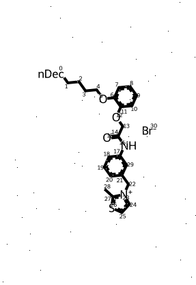 CCCCCCCCCCCCCCOc1ccccc1OCC(=O)Nc1cccc(C[n+]2ccsc2C)c1.[Br-]